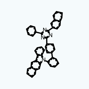 c1ccc(-c2nc(-c3ccc(-c4ccccc4-n4c5ccccc5c5cc6ccccc6cc54)cc3)nc(-c3ccc4ccccc4c3)n2)cc1